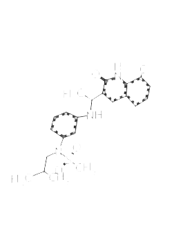 CC(C)CN(c1cccc(N[C@@H](C)c2cc3cccc(Cl)c3[nH]c2=O)c1)S(C)(=O)=O